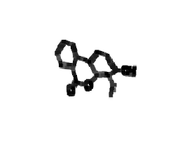 O=c1oc2c(F)c(O)ccc2c2ccccc12